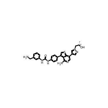 C[C@H](O)Cn1cc(-c2cnc(N)c3c(-c4ccc(NC(=O)Nc5cccc(CN)c5)cc4)csc23)cn1